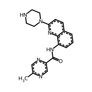 Cc1cnc(C(=O)Nc2cccc3ccc(N4CCNCC4)nc23)cn1